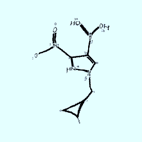 O=[N+]([O-])C1NN(CC2CC2)C=C1B(O)O